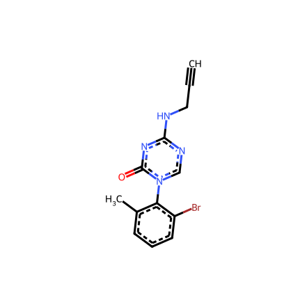 C#CCNc1ncn(-c2c(C)cccc2Br)c(=O)n1